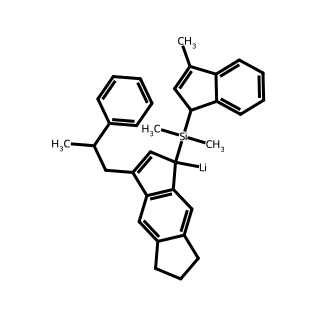 [Li][C]1([Si](C)(C)C2C=C(C)c3ccccc32)C=C(CC(C)c2ccccc2)c2cc3c(cc21)CCC3